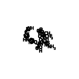 CC1(C)C(NC(=O)/C(=N\O[C@@H](COc2ccc(Nc3cc[n+](CC4CNC4)cc3)nc2)C(=O)O)c2csc(N)n2)C(=O)N1OS(=O)(=O)[O-]